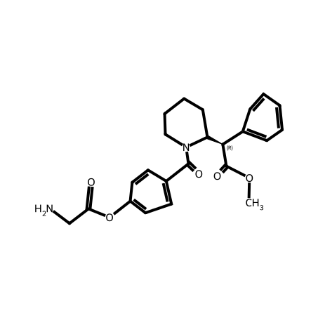 COC(=O)[C@H](c1ccccc1)C1CCCCN1C(=O)c1ccc(OC(=O)CN)cc1